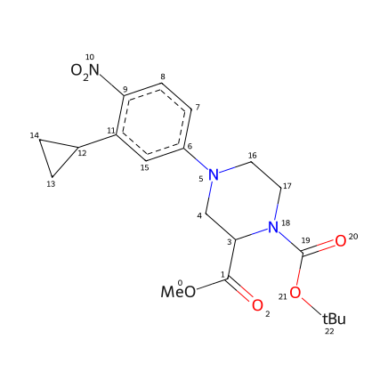 COC(=O)C1CN(c2ccc([N+](=O)[O-])c(C3CC3)c2)CCN1C(=O)OC(C)(C)C